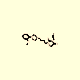 COc1ccccc1N1CCN(CCCCn2ncc(=O)n(CCF)c2=O)CC1